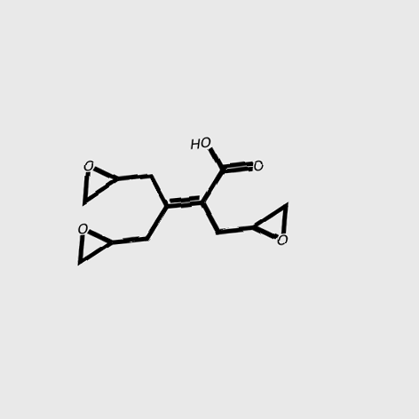 O=C(O)C(CC1CO1)=C(CC1CO1)CC1CO1